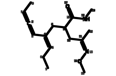 CC=C=C/C(=C\CC)CC(C/C(C)=N\OC)C(=O)NC